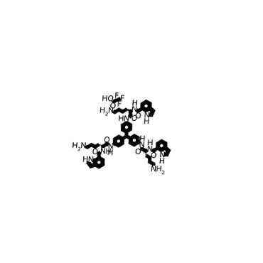 NCCCC[C@@H](NC(=O)c1cccc2cc[nH]c12)C(=O)Nc1ccc(C(c2ccc(NC(=O)[C@@H](CCCCN)NC(=O)c3cccc4cc[nH]c34)cc2)c2ccc(NC(=O)[C@@H](CCCCN)NC(=O)c3cccc4cc[nH]c34)cc2)cc1.O=C(O)C(F)(F)F